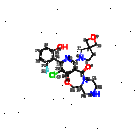 O=C1c2c(N3CCC4(COC4)C3)nc(-c3c(O)cccc3F)c(Cl)c2OCC2CNCCN12